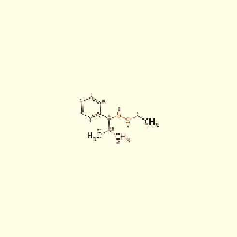 CCSSC(c1ccccc1)C(C)C